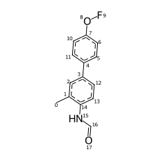 Cc1cc(-c2ccc(OF)cc2)ccc1NC=O